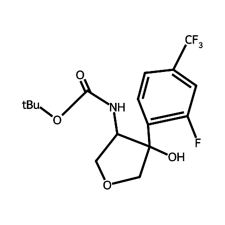 CC(C)(C)OC(=O)NC1COCC1(O)c1ccc(C(F)(F)F)cc1F